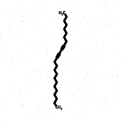 CCCCCCCCC#CC#CCCCCCCCCCCCC